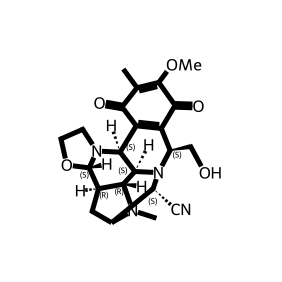 COC1=C(C)C(=O)C2=C(C1=O)[C@@H](CO)N1[C@H]3[C@H]4[C@@H](CC([C@H]1C#N)N4C)[C@@H]1OCCN1[C@@H]23